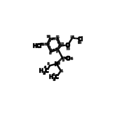 CCN(CC)C(=O)c1ccccc1OCCl.Cl